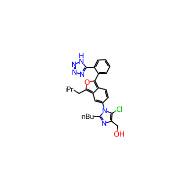 CCCCc1nc(CO)c(Cl)n1-c1ccc2c(-c3ccccc3-c3nnn[nH]3)oc(CC(C)C)c2c1